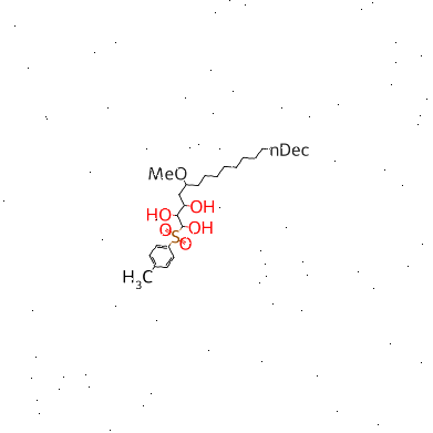 CCCCCCCCCCCCCCCCCCC(CC(O)C(O)C(O)S(=O)(=O)c1ccc(C)cc1)OC